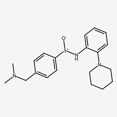 CN(C)Cc1ccc([S+]([O-])Nc2ccccc2N2CCCCC2)cc1